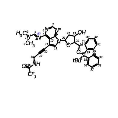 CN(C)/C=N/c1ncnc2c1c(C#CCNC(=O)C(F)(F)F)cn2C1CC(O)C(CO[Si](c2ccccc2)(c2ccccc2)C(C)(C)C)O1